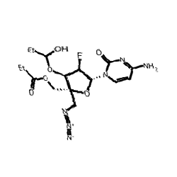 CCC(=O)OC[C@@]1(CN=[N+]=[N-])O[C@@H](n2ccc(N)nc2=O)[C@H](F)[C@@H]1OC(O)CC